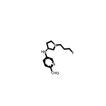 O=Cc1ccc(N[C@H]2CCN(CCCF)C2)cn1